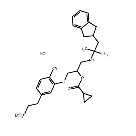 CCOC(=O)CCc1ccc(C#N)c(OCC(CNC(C)(C)CC2Cc3ccccc3C2)OC(=O)C2CC2)c1.Cl